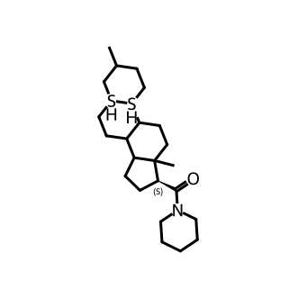 CC1CC[SH]2C3CCC4(C)C(CC[C@@H]4C(=O)N4CCCCC4)C3CC[SH]2C1